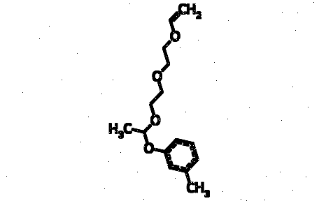 C=COCCOCCOC(C)Oc1cccc(C)c1